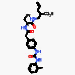 C=CCC(CNC(=O)[C@H](CC(C)C)NC(=O)Cc1ccc(NC(=O)Nc2ccccc2C)cc1)C(=O)O